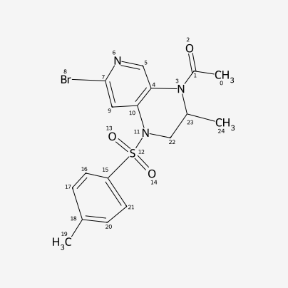 CC(=O)N1c2cnc(Br)cc2N(S(=O)(=O)c2ccc(C)cc2)CC1C